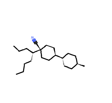 CCCC[C@H](CCC)[C@]1(C#N)CC[C@@H]([C@H]2CC[C@H](C)CC2)CC1